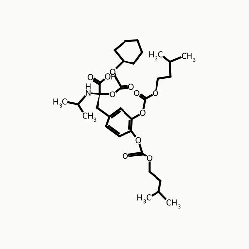 CC(C)CCOC(=O)Oc1ccc(C[C@](NC(C)C)(OC(=O)OC2CCCCC2)C(=O)O)cc1OC(=O)OCCC(C)C